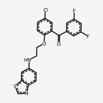 O=C(c1cc(F)cc(F)c1)c1cc(Cl)ccc1OCCNc1ccc2ncsc2c1